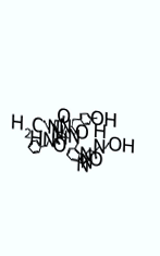 C=CCN1CC(=O)N2[C@@H](Cc3ccc(O)cc3)C(=O)N(Cc3cccc4nnn(CC(=O)NCCO)c34)C[C@@H]2N1C(=O)NCc1ccccc1